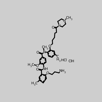 COc1cc(C(=O)N(C)c2ccc(C)cc2OCCCCCC(=O)N2CCN(C)CC2)ccc1NC(=O)c1cc(C)ccc1OCCCN.Cl.Cl